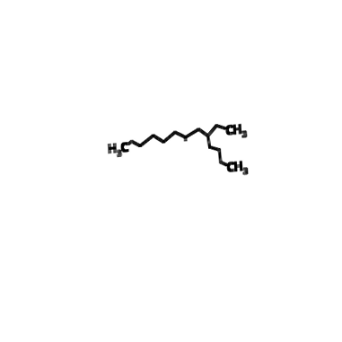 CCCCCC[CH]CC(CC)CCCC